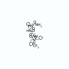 CC(NC(=O)[C@H](Cc1cccc(C(F)(F)F)c1)NC(=O)Cc1ccccc1)C(=O)C(=O)N[C@@H](Cc1ccccc1)C(=O)NC(C)(C)C(N)=O